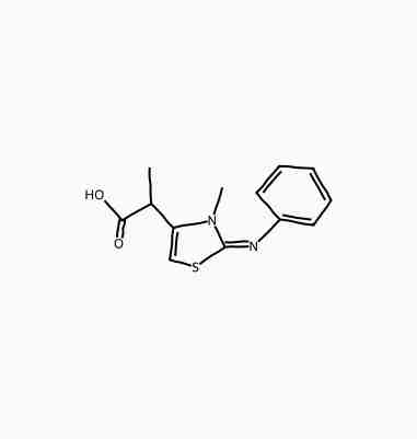 CC(C(=O)O)c1cs/c(=N/c2ccccc2)n1C